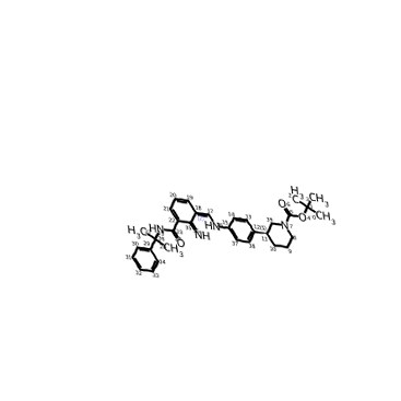 CC(C)(C)OC(=O)N1CCC[C@@H](c2ccc(N/C=C3/C=CC=C(C(=O)NC(C)(C)c4ccccc4)C3=N)cc2)C1